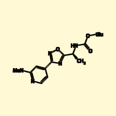 CNc1cc(-c2noc([C@H](C)NC(=O)OC(C)(C)C)n2)ccn1